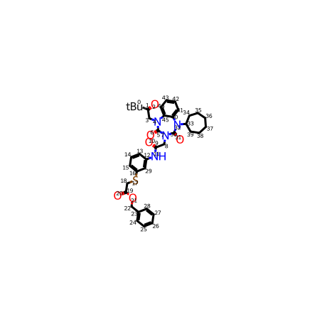 CC(C)(C)C(=O)CN1C(=O)N(CC(=O)Nc2cccc(SCC(=O)OCc3ccccc3)c2)C(=O)N(C2CCCCCC2)c2ccccc21